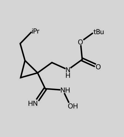 CC(C)CC1CC1(CNC(=O)OC(C)(C)C)C(=N)NO